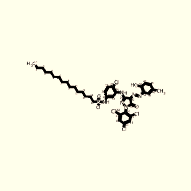 CCCCCCCCCCCCCCCCS(=O)(=O)Nc1ccc(Cl)c(NC2=NN(c3c(Cl)cc(Cl)cc3Cl)C(=O)C2/N=N/c2cc(C)ccc2O)c1